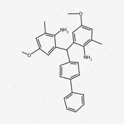 COc1cc(C)c(N)c(C(c2ccc(-c3ccccc3)cc2)c2cc(OC)cc(C)c2N)c1